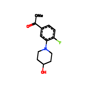 COC(=O)c1ccc(F)c(N2CCC(O)CC2)c1